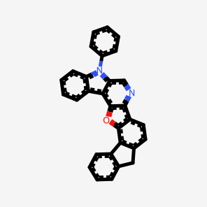 c1ccc(-n2c3ccccc3c3c4oc5c6c(ccc5c4ncc32)Cc2ccccc2-6)cc1